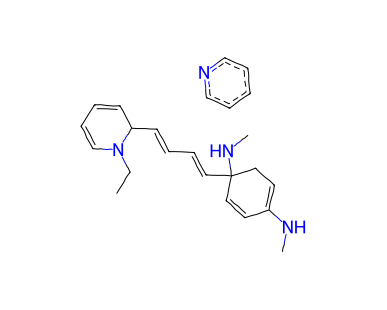 CCN1C=CC=CC1C=CC=CC1(NC)C=CC(NC)=CC1.c1ccncc1